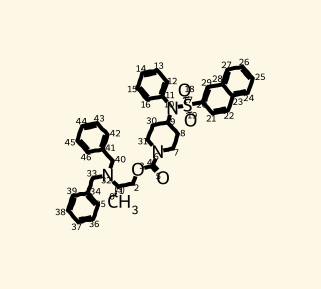 C[C@@H](COC(=O)N1CCC(N(c2ccccc2)S(=O)(=O)c2ccc3ccccc3c2)CC1)N(Cc1ccccc1)Cc1ccccc1